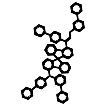 C(/Cc1cccc(-c2ccccc2)c1)=C(/c1ccc(-c2ccccc2)cc1)c1cccc2c1-c1ccccc1C21c2ccccc2-c2c(N(c3ccc(-c4ccccc4)cc3)c3cccc(-c4ccccc4)c3)cccc21